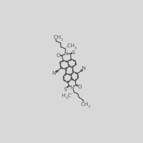 CCCC[C@H](C)N1C(=O)c2cc(C#N)c3c4ccc5c6c(cc(C#N)c(c7ccc(c2c73)C1=S)c64)C(=O)N([C@@H](C)CCCC)C5=S